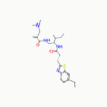 C=C(CN(C)C)C(=O)NCC(NC(=O)CCc1nc2ccc(CC)cc2s1)C(C)CC